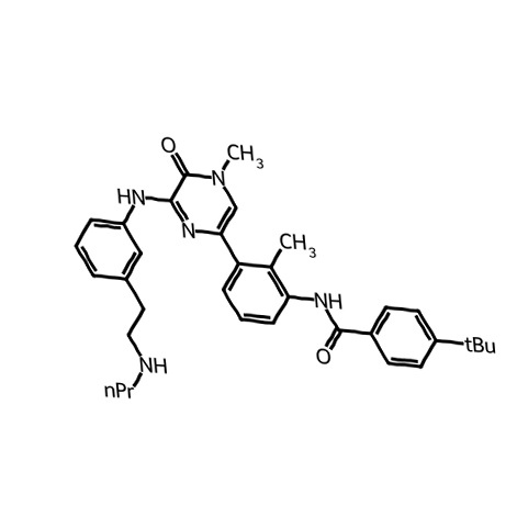 CCCNCCc1cccc(Nc2nc(-c3cccc(NC(=O)c4ccc(C(C)(C)C)cc4)c3C)cn(C)c2=O)c1